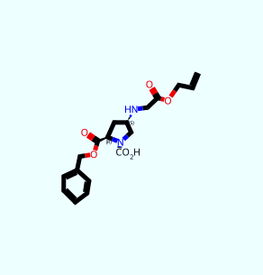 C=CCOC(=O)CN[C@H]1C[C@H](C(=O)OCc2ccccc2)N(C(=O)O)C1